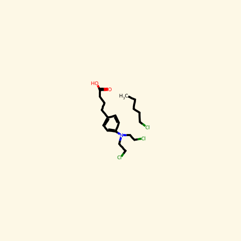 CCCCCCl.O=C(O)CCCc1ccc(N(CCCl)CCCl)cc1